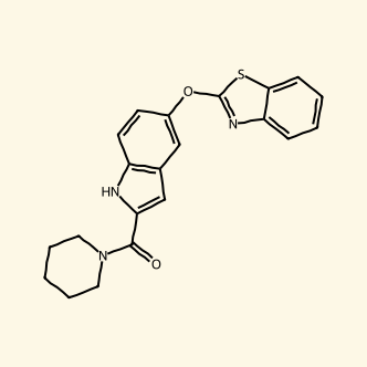 O=C(c1cc2cc(Oc3nc4ccccc4s3)ccc2[nH]1)N1CCCCC1